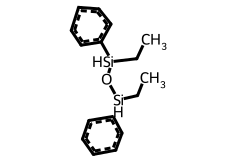 CC[SiH](O[SiH](CC)c1ccccc1)c1ccccc1